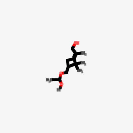 CCOC(C)OCC1C/C(=C(/C)CO)C1(C)C